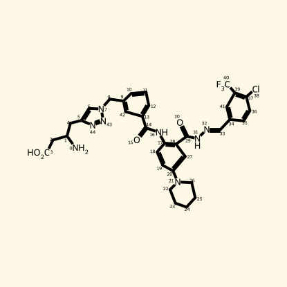 NC(CC(=O)O)Cc1cn(Cc2cccc(C(=O)Nc3ccc(N4CCCCC4)cc3C(=O)NN=Cc3ccc(Cl)c(C(F)(F)F)c3)c2)nn1